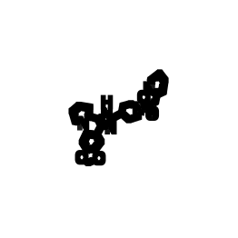 O=S(=O)(Cc1ccccn1)N1CCC(c2nc(-c3ccc4c(c3)OCO4)c(-c3ccccn3)[nH]2)CC1